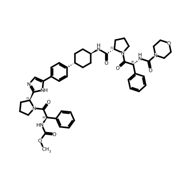 COC(=O)N[C@@H](C(=O)N1CCC[C@H]1c1ncc(-c2ccc([C@H]3CC[C@H](NC(=O)[C@@H]4CCCN4C(=O)[C@H](NC(=O)N4CCOCC4)c4ccccc4)CC3)cc2)[nH]1)c1ccccc1